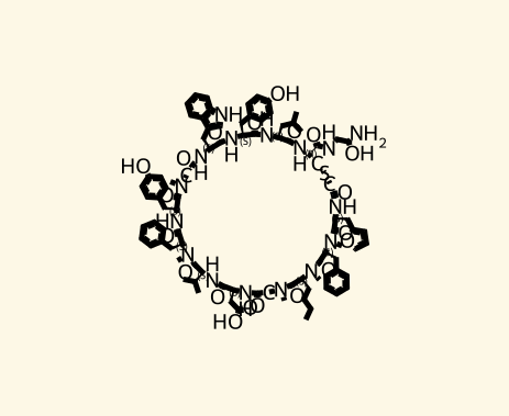 CCCC[C@H]1C(=O)N(C)CC(=O)N[C@@H](CC(=O)O)C(=O)N[C@@H](C(C)C)C(=O)N(C)[C@@H](Cc2ccccc2)C(=O)N[C@@H](Cc2ccc(O)cc2)C(=O)N(C)CC(=O)N[C@@H](Cc2c[nH]c3ccccc23)C(=O)N[C@@H](Cc2ccc(O)cc2)C(=O)N[C@@H](CC(C)C)C(=O)N[C@H](C(=O)NCC(N)O)CSCC(=O)N[C@@H](Cc2ccco2)C(=O)N(C)[C@@H](Cc2ccccc2)C(=O)N1C